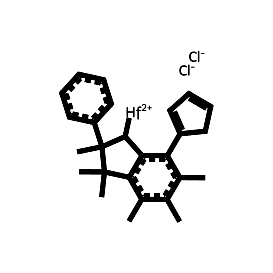 Cc1c(C)c(C2=CC=CC2)c2c(c1C)C(C)(C)C(C)(c1ccccc1)[CH]2[Hf+2].[Cl-].[Cl-]